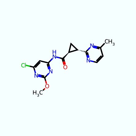 COc1nc(Cl)cc(NC(=O)[C@H]2C[C@@H]2c2nccc(C)n2)n1